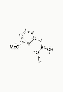 COc1cccc(CB(O)OF)c1